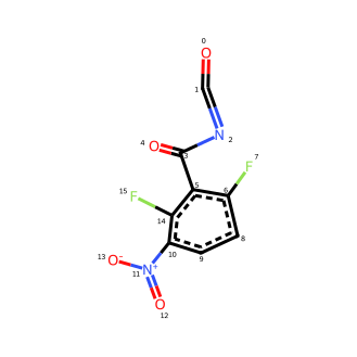 O=C=NC(=O)c1c(F)ccc([N+](=O)[O-])c1F